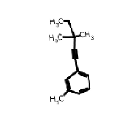 CCC(C)(C)C#Cc1cccc(C)c1